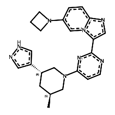 C[C@H]1C[C@H](c2cn[nH]c2)CN(c2ccnc(-c3cnc4ccc(N5CCC5)cn34)n2)C1